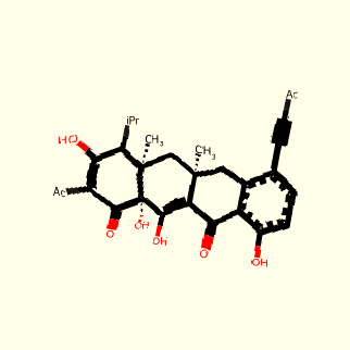 CC(=O)C#Cc1ccc(O)c2c1C[C@]1(C)C[C@]3(C)C(C(C)C)C(O)=C(C(C)=O)C(=O)[C@]3(O)C(O)=C1C2=O